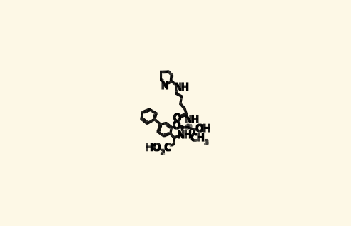 CC(O)[C@@H](NC(=O)CCCCNc1ccccn1)C(=O)NC(CC(=O)O)c1ccc(-c2ccccc2)cc1